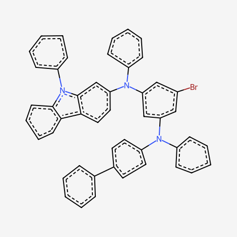 Brc1cc(N(c2ccccc2)c2ccc(-c3ccccc3)cc2)cc(N(c2ccccc2)c2ccc3c4ccccc4n(-c4ccccc4)c3c2)c1